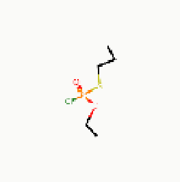 CCCSP(=O)(Cl)OCC